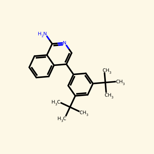 CC(C)(C)c1cc(-c2cnc(N)c3ccccc23)cc(C(C)(C)C)c1